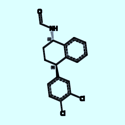 O=CN[C@H]1CC[C@H](c2ccc(Cl)c(Cl)c2)c2ccccc21